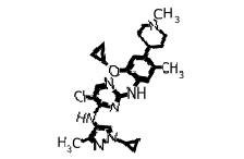 Cc1cc(Nc2ncc(Cl)c(Nc3cn(C4CC4)nc3C)n2)c(OC2CC2)cc1C1CCN(C)CC1